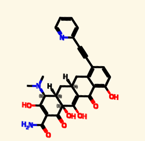 CN(C)[C@@H]1C(O)=C(C(N)=O)C(=O)[C@@]2(O)C(O)=C3C(=O)c4c(O)ccc(C#Cc5ccccn5)c4C[C@H]3C[C@@H]12